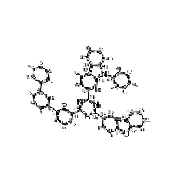 c1ccc(-c2cccc(-c3cccc(-c4nc(-c5ccc6oc7ccccc7c6c5)nc(-c5ccc6c7ccccc7n(-c7ccccc7)c6c5)n4)c3)c2)cc1